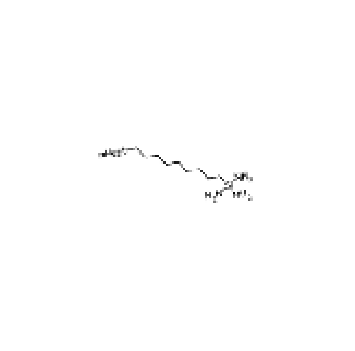 CCCCCCCCCCCCCCCC[Si](N)(N)N